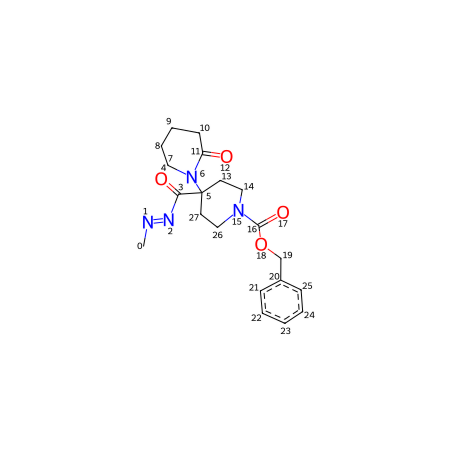 CN=NC(=O)C1(N2CCCCC2=O)CCN(C(=O)OCc2ccccc2)CC1